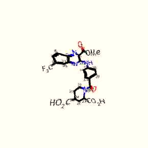 COC(=O)c1nc2ccc(C(F)(F)F)cc2nc1Nc1ccc(C(=O)N2CCC(C(=O)O)CC2C(=O)O)cc1